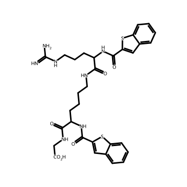 N=C(N)NCCCC(NC(=O)c1cc2ccccc2s1)C(=O)NCCCCC(NC(=O)c1cc2ccccc2s1)C(=O)NCC(=O)O